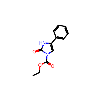 CCOC(=O)n1cc(-c2ccccc2)[nH]c1=O